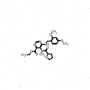 CCOC(=O)c1ncnc(NCc2ccc(OC)cc2OC)c1N(C)C(=O)C1CCCO1